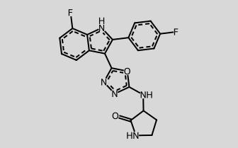 O=C1NCCC1Nc1nnc(-c2c(-c3ccc(F)cc3)[nH]c3c(F)cccc23)o1